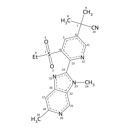 CCS(=O)(=O)c1cc(C(C)(C)C#N)cnc1-c1nc2cc(C)ncc2n1C